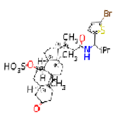 CC(C)C(NC(=O)C[C@@H](C)[C@H]1CC[C@H]2[C@@H]3[C@H](OS(=O)(=O)O)C[C@@H]4CC(=O)CC[C@]4(C)[C@H]3CC[C@]12C)c1ccc(Br)s1